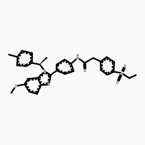 CCS(=O)(=O)c1ccc(CC(=O)Nc2ccc(-c3nc4ccc(OC)cc4n3[C@H](C)c3ccc(C)cc3)cc2)cc1